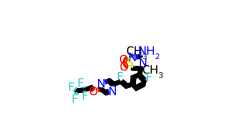 CN1C(N)=NC(C)(c2cc(C=C(F)c3cnc(OCC(F)(F)C(F)F)cn3)ccc2F)CS1(=O)=O